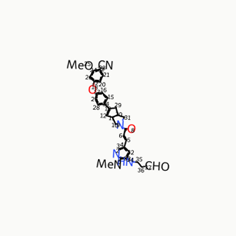 CNc1ncc(/C=C/C(=O)N2CC3C=C(c4ccc(Oc5ccc(C#N)c(OC)c5)cc4)CC3C2)cc1NCCC=O